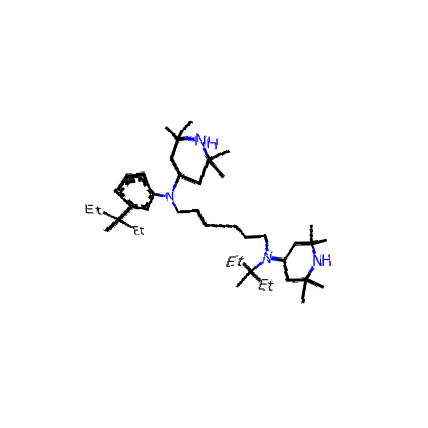 CCC(C)(CC)c1cccc(N(CCCCCCN(C2CC(C)(C)NC(C)(C)C2)C(C)(CC)CC)C2CC(C)(C)NC(C)(C)C2)c1